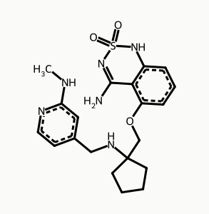 CNc1cc(CNC2(COc3cccc4c3C(N)=NS(=O)(=O)N4)CCCC2)ccn1